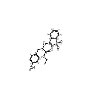 CCOC(=O)C(Cc1ccc(O)cc1)OC1=NS(=O)(=O)c2ccccc21